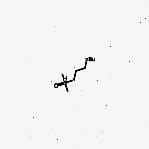 CCCCCCC[SH](C)(C)=O